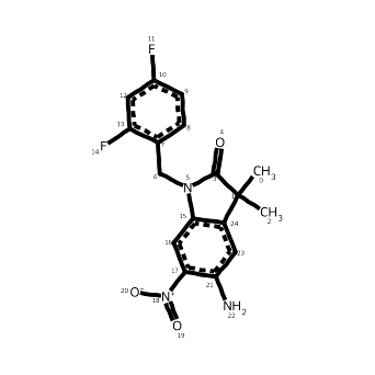 CC1(C)C(=O)N(Cc2ccc(F)cc2F)c2cc([N+](=O)[O-])c(N)cc21